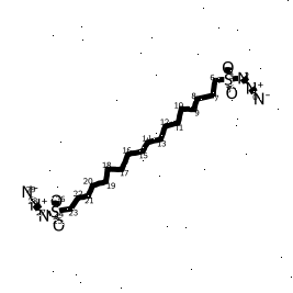 [N-]=[N+]=NS(=O)(=O)CCCCCCCCCCCCCCCCCCS(=O)(=O)N=[N+]=[N-]